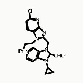 CC(C)CCn1c(CN2c3cnccc3N(C3CC3)C2C=O)nc2nc(Cl)ccc21